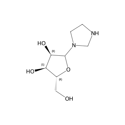 OC[C@H]1OC(N2CCNC2)[C@H](O)[C@@H]1O